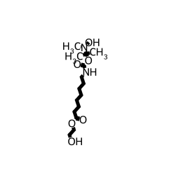 CN(O)C(C)(C)OC(=O)NCCCCCCCC(=O)OCCO